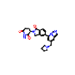 O=C1CCC(N2Cc3cc(-c4cc(CN5CCCC5)cc5cncn45)ccc3C2=O)C(=O)N1